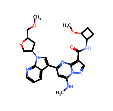 CNc1cc(-c2cn([C@H]3CO[C@@H](COC)C3)c3ncccc23)nc2c(C(=O)NC3CC[C@@H]3OC)cnn12